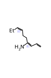 C=C/C=C(/N)CC/C=C\CC